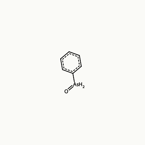 O=[AsH2]c1ccccc1